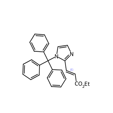 CCOC(=O)/C=C/c1nccn1C(c1ccccc1)(c1ccccc1)c1ccccc1